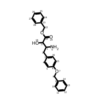 NC(Cc1ccc(OCc2ccccc2)cc1)C(O)C(=O)OCc1ccccc1